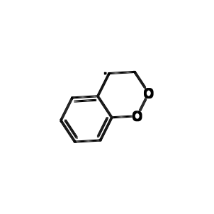 [CH]1COOc2ccccc21